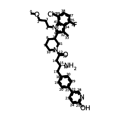 COCCCn1c(C2CCCN(C(=O)C[C@H](N)Cc3ccc(-c4ccc(O)nc4)cc3)C2)c(C)c2c(F)ccc(Cl)c21